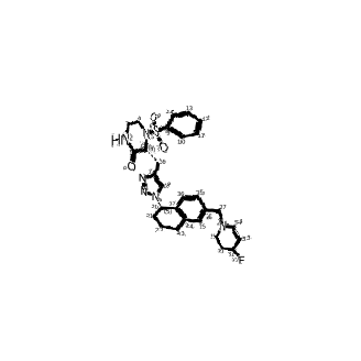 O=C1NCCN(S(=O)(=O)c2ccccc2)[C@@H]1Cc1cn([C@H]2CCCc3cc(CN4CCC(F)CC4)ccc32)nn1